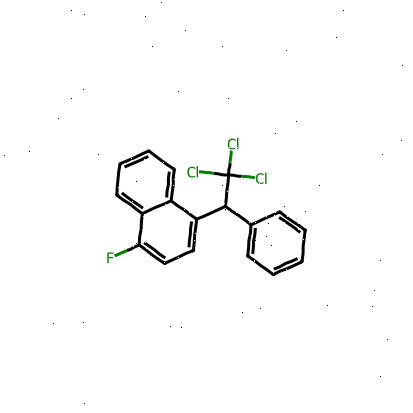 Fc1ccc([C](c2ccccc2)C(Cl)(Cl)Cl)c2ccccc12